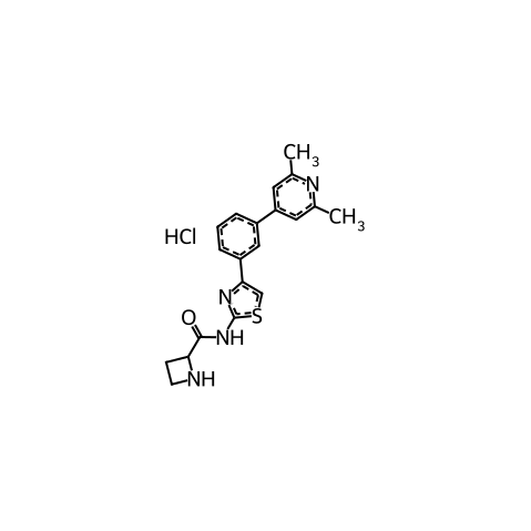 Cc1cc(-c2cccc(-c3csc(NC(=O)C4CCN4)n3)c2)cc(C)n1.Cl